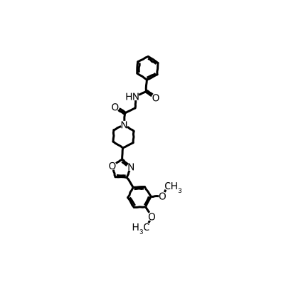 COc1ccc(-c2coc(C3CCN(C(=O)CNC(=O)c4ccccc4)CC3)n2)cc1OC